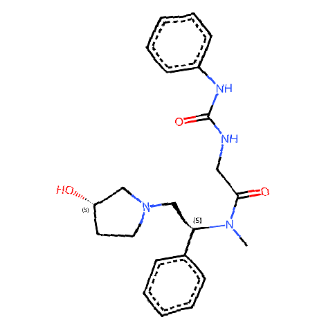 CN(C(=O)CNC(=O)Nc1ccccc1)[C@H](CN1CC[C@H](O)C1)c1ccccc1